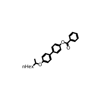 CCCCCCC(C)Oc1ccc(-c2ccc(OC(=O)c3ccccc3)cc2)cc1